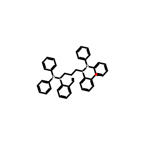 C=Cc1ccccc1I(CCCI(c1ccccc1C=C)P(c1ccccc1)c1ccccc1)P(c1ccccc1)c1ccccc1